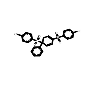 O=S(=O)(C1=CCC(c2ccccc2)(S(=O)(=O)c2ccc(Cl)cc2)C=C1)c1ccc(Cl)cc1